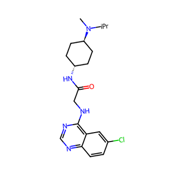 CC(C)N(C)[C@H]1CC[C@H](NC(=O)CNc2ncnc3ccc(Cl)cc23)CC1